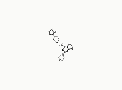 c1cnc2cc(N3CCOCC3)nc(OC[C@H]3CC[C@@H](c4ncn[nH]4)CC3)c2c1